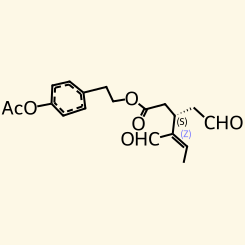 C/C=C(\C=O)[C@@H](CC=O)CC(=O)OCCc1ccc(OC(C)=O)cc1